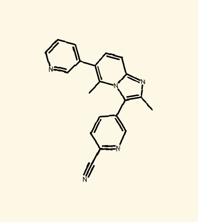 Cc1nc2ccc(-c3cccnc3)c(C)n2c1-c1ccc(C#N)nc1